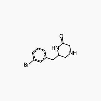 O=C1CNCC(Cc2cccc(Br)c2)N1